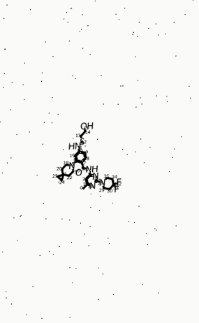 Cc1cc(NC(=O)c2ccc(NSCCO)cc2N2CCC3(CC2)CC3)nc(N2CCC(F)(F)CC2)n1